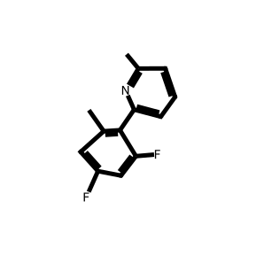 Cc1cccc(-c2c(C)cc(F)cc2F)n1